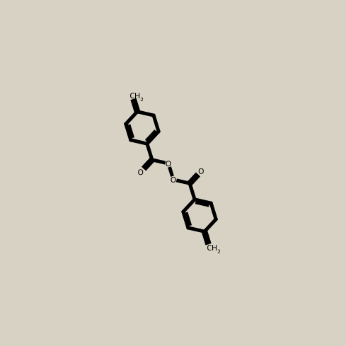 C=C1C=CC(C(=O)OOC(=O)C2=CCC(=C)C=C2)=CC1